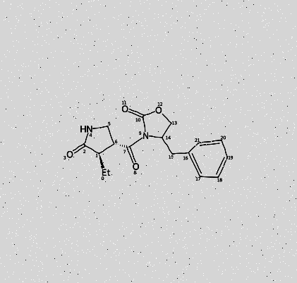 CC[C@H]1C(=O)NC[C@@H]1C(=O)N1C(=O)OCC1Cc1ccccc1